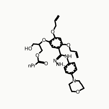 C=CCOc1cc(OCC=C)c(C(=NN)Nc2ccc(N3CCOCC3)cc2)cc1OC(CO)COC(=O)CCC